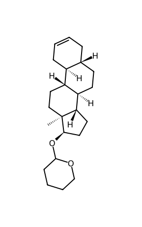 C[C@]12CC[C@H]3[C@@H](CC[C@H]4CC=CC[C@@H]43)[C@@H]1CC[C@H]2OC1CCCCO1